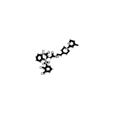 Cc1ccnc(N2CCC(CCNC(=O)C[C@@H]3C(=O)Nc4ccccc4N3S(=O)(=O)c3cccc(Cl)c3Cl)CC2)c1